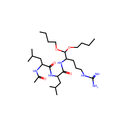 CCCCOC(OCCCC)C(CCCNC(=N)N)NC(=O)C(CC(C)C)NC(=O)C(CC(C)C)NC(C)=O